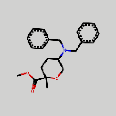 COC(=O)C1(C)CCC(N(Cc2ccccc2)Cc2ccccc2)CO1